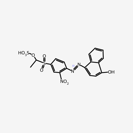 CC(OS(=O)(=O)O)S(=O)(=O)c1ccc(/N=N/c2ccc(O)c3ccccc23)c([N+](=O)[O-])c1